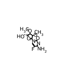 COC1C(OC)[C@@H](CO)O[C@H]1n1cc(F)c(N)nc1=O